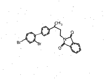 CC(CCN1C(=O)c2ccccc2C1=O)c1ccc(-c2ccc(Br)cc2Br)cc1